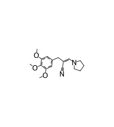 COc1cc(CC(C#N)=CN2CCCC2)cc(OC)c1OC